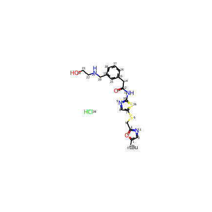 CC(C)(C)c1cnc(CSc2cnc(NC(=O)Cc3cccc(CNCCO)c3)s2)o1.Cl